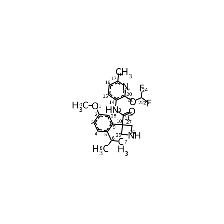 COc1ccc(C(C)C)c(C2(C(=O)Nc3ccc(C)nc3OC(F)F)CNC2)c1